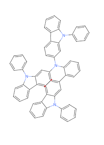 c1ccc(-n2c3ccccc3c3ccc(-c4ccccc4N(c4ccc5c6ccccc6n(-c6ccccc6)c5c4)c4ccc5c6ccccc6n(-c6ccccc6)c5c4)cc32)cc1